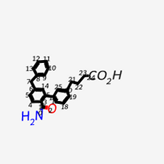 NC(=O)c1ccc(Cc2ccccc2)cc1-c1cccc(CCCC(=O)O)c1